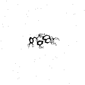 CC(=O)O[C@]12CC[C@@H](N(C)C(=O)Cc3ccc(Cl)c(Cl)c3)C[C@]1(c1cccc(O)c1)CCN(C)C2